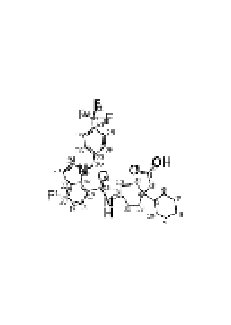 O=C(O)CC1(C2CCCCC2)CCC(NC(=O)c2ccc(F)c3ccn(Cc4ccc(C(F)(F)F)cc4)c23)CC1